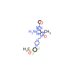 Cn1c(=O)n(CCN2CCN(c3cc([S+](C)[O-])c(F)cc3F)CC2)c2nc(N)n3nc(-c4ccco4)nc3c21